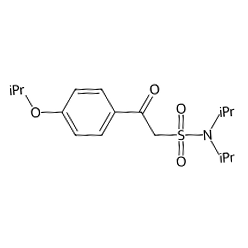 CC(C)Oc1ccc(C(=O)CS(=O)(=O)N(C(C)C)C(C)C)cc1